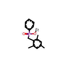 CCOP(=O)(Cc1c(C)cc(C)cc1C)c1ccccc1